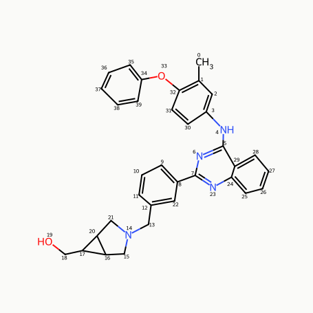 Cc1cc(Nc2nc(-c3cccc(CN4CC5C(CO)C5C4)c3)nc3ccccc23)ccc1Oc1ccccc1